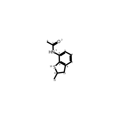 CC(=O)Nc1cccc2c1SC(C)C2